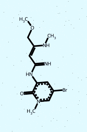 CN/C(=C\C(=N)Nc1cc(Br)cn(C)c1=O)COC